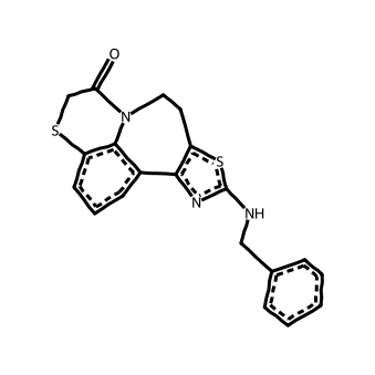 O=C1CSc2cccc3c2N1CCc1sc(NCc2ccccc2)nc1-3